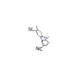 CC1Cc2c(c3cc(C#N)ccc3n2C)C=C1C#N